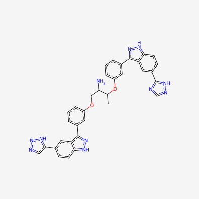 [CH2]C(Oc1cccc(-c2n[nH]c3ccc(-c4ncn[nH]4)cc23)c1)C(N)COc1cccc(-c2n[nH]c3ccc(-c4cnn[nH]4)cc23)c1